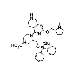 CN1CCC[C@H]1COc1nc2c(c(N3CCN(C(=O)O)CC3CO[Si](c3ccccc3)(c3ccccc3)C(C)(C)C)n1)CCNC2